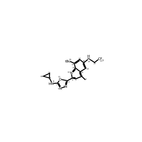 Cc1cc(-c2nnc(NC3CC3)o2)nc2c(C(C)(C)C)cc(NCC(F)(F)F)cc12